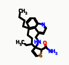 CCCCCCCC(CC)C1(NCc2ccnc3ccccc23)C=CSC1C(N)=O